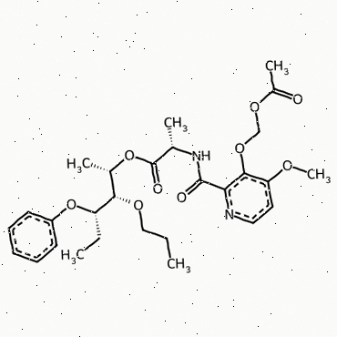 CCCO[C@@H]([C@H](C)OC(=O)[C@H](C)NC(=O)c1nccc(OC)c1OCOC(C)=O)[C@H](CC)Oc1ccccc1